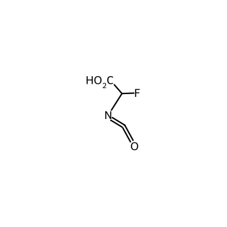 O=C=NC(F)C(=O)O